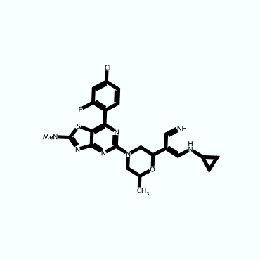 CNc1nc2nc(N3CC(C)OC(/C(C=N)=C/NC4CC4)C3)nc(-c3ccc(Cl)cc3F)c2s1